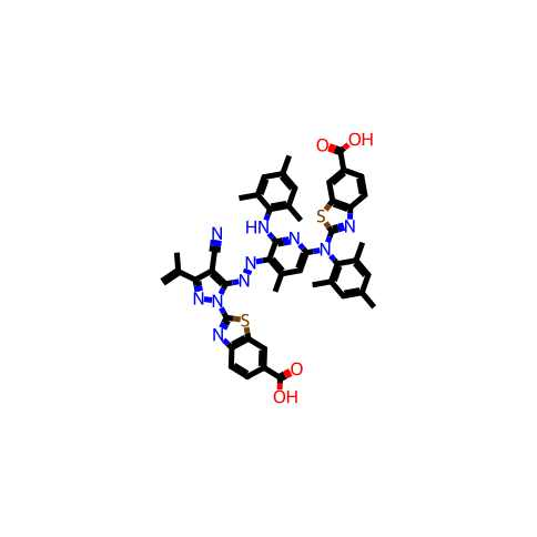 C=C(C)c1nn(-c2nc3ccc(C(=O)O)cc3s2)c(/N=N/c2c(C)cc(N(c3nc4ccc(C(=O)O)cc4s3)c3c(C)cc(C)cc3C)nc2Nc2c(C)cc(C)cc2C)c1C#N